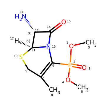 COP(=O)(OC)C1=C(C)CS[C@H]2[C@H](N)C(=O)N12